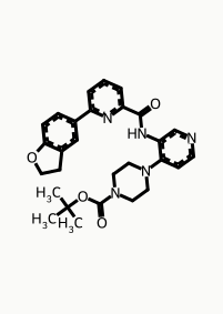 CC(C)(C)OC(=O)N1CCN(c2ccncc2NC(=O)c2cccc(-c3ccc4c(c3)CCO4)n2)CC1